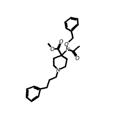 COC(=O)C1(N(OCc2ccccc2)C(C)=O)CCN(CCCc2ccccc2)CC1